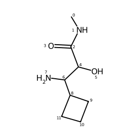 CNC(=O)C(O)C(N)C1CCC1